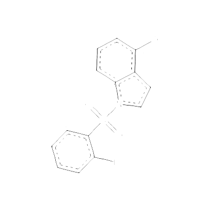 O=S(=O)(c1ccccc1F)n1ccc2c(O)cccc21